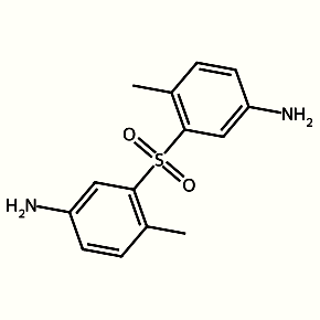 Cc1ccc(N)cc1S(=O)(=O)c1cc(N)ccc1C